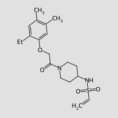 C=CS(=O)(=O)NC1CCN(C(=O)COc2cc(C)c(C)cc2CC)CC1